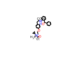 CCC(=O)[N@@+](C)(CCOc1ccc(CC(Nc2ccccc2C(=O)c2ccccc2)C(=O)O)cc1)C1CC1